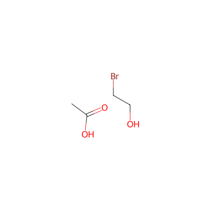 CC(=O)O.OCCBr